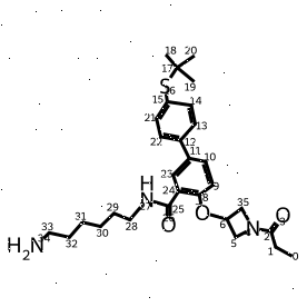 CCC(=O)N1CC(Oc2ccc(-c3ccc(SC(C)(C)C)cc3)cc2C(=O)NCCCCCCN)C1